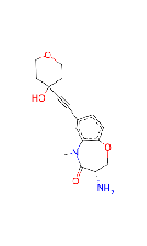 CN1C(=O)[C@@H](N)COc2ccc(C#CC3(O)CCOCC3)cc21